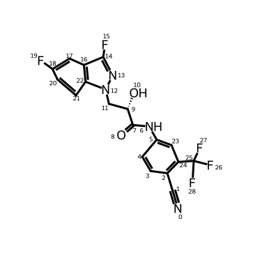 N#Cc1ccc(NC(=O)[C@@H](O)Cn2nc(F)c3cc(F)ccc32)cc1C(F)(F)F